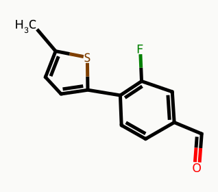 Cc1ccc(-c2ccc(C=O)cc2F)s1